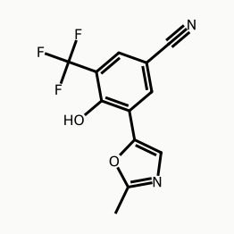 Cc1ncc(-c2cc(C#N)cc(C(F)(F)F)c2O)o1